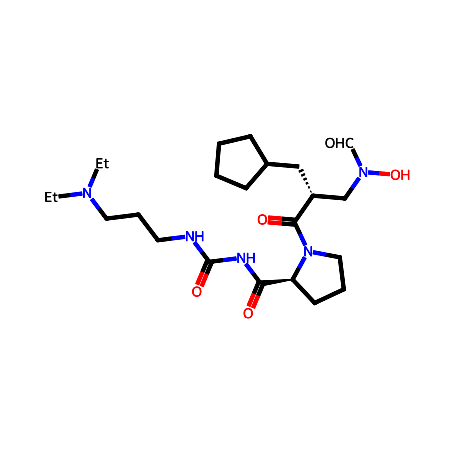 CCN(CC)CCCNC(=O)NC(=O)[C@@H]1CCCN1C(=O)[C@H](CC1CCCC1)CN(O)C=O